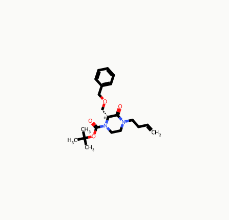 C=CCCN1CCN(C(=O)OC(C)(C)C)[C@H](COCc2ccccc2)C1=O